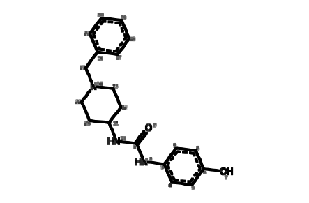 O=C(Nc1ccc(O)cc1)NC1CCN(Cc2ccccc2)CC1